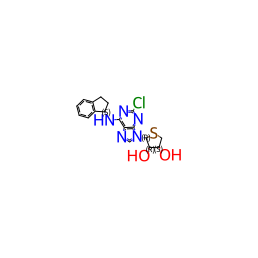 O[C@@H]1[C@H](O)CS[C@H]1n1cnc2c(N[C@H]3CCc4ccccc43)nc(Cl)nc21